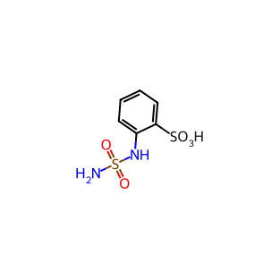 NS(=O)(=O)Nc1ccccc1S(=O)(=O)O